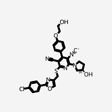 [C-]#[N+]c1c(N2CC[C@@H](O)C2)nc(SCc2coc(-c3ccc(Cl)cc3)n2)c(C#N)c1-c1ccc(OCCO)cc1